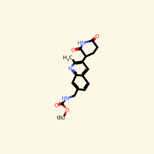 Cc1nc2cc(CNC(=O)OC(C)(C)C)ccc2cc1C1CCC(=O)NC1=O